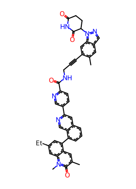 CCc1cc(-c2cccc3cc(-c4ccc(C(=O)NCC#Cc5cc6c(cnn6C6CCC(=O)NC6=O)cc5C)nc4)ncc23)c2cc(C)c(=O)n(C)c2c1